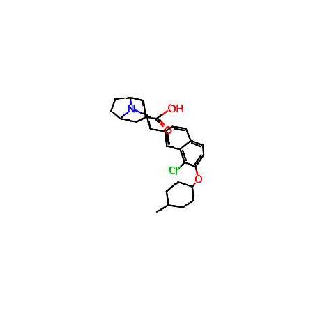 CC1CCC(Oc2ccc3ccc(CCN4C5CCC4CC(C(=O)O)C5)cc3c2Cl)CC1